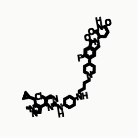 Cn1ncc(-c2nc(N[C@H]3CC[C@H](NCCCCN4CCC(c5cc6c(cc5F)C(=O)N(C5CCC(=O)NC5=O)C6)CC4)CC3)ncc2Cl)c1CC1CC1